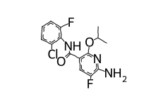 CC(C)Oc1nc(N)c(F)cc1C(=O)Nc1c(F)cccc1Cl